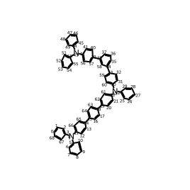 c1ccc(N(c2ccccc2)c2ccc(-c3ccc(-c4ccc(N(c5ccccc5)c5ccc(-c6cccc(-c7ccc(N(c8ccccc8)c8ccccc8)cc7)c6)cc5)cc4)cc3)cc2)cc1